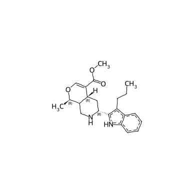 CCCc1c([C@H]2C[C@H]3C(C(=O)OC)=CO[C@H](C)C3CN2)[nH]c2ccccc12